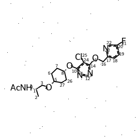 CC(=O)N[C@@H](C)CO[C@H]1CC[C@H](Oc2ncnc(OCc3ccc(F)cn3)c2Cl)CC1